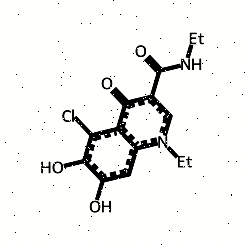 CCNC(=O)c1cn(CC)c2cc(O)c(O)c(Cl)c2c1=O